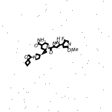 COc1cc(-c2cc(C(=O)N3CCC(C(N)=O)CC34CC4[C@@H]3CCN([C@@H]4COC45CCC5)C3)n[nH]2)c(F)cn1